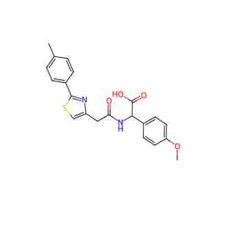 COc1ccc(C(NC(=O)Cc2csc(-c3ccc(C)cc3)n2)C(=O)O)cc1